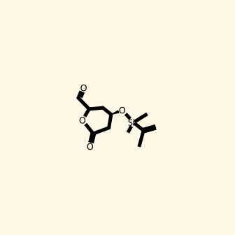 C=C(C)[Si](C)(C)O[C@H]1CC(=O)OC(C=O)C1